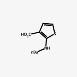 CCCCNc1sccc1C(=O)O